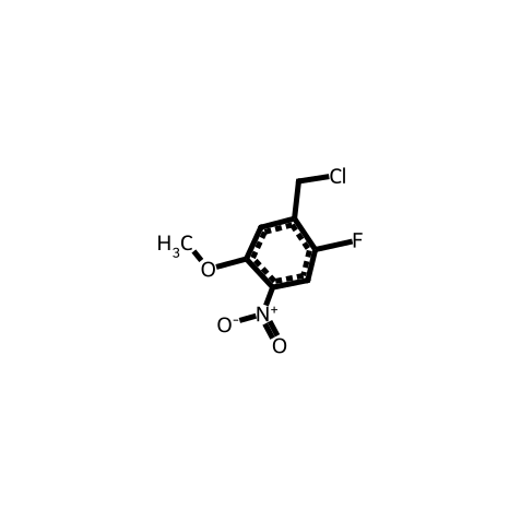 COc1cc(CCl)c(F)cc1[N+](=O)[O-]